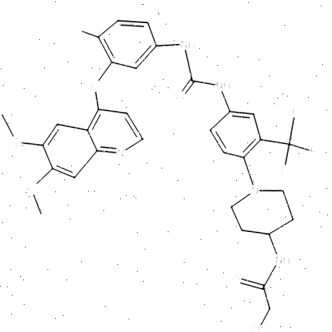 COc1cc2nccc(Oc3cc(NC(=O)Nc4ccc(N5CCC(NC(=O)CCl)CC5)c(C(F)(F)F)c4)ccc3C)c2cc1OC